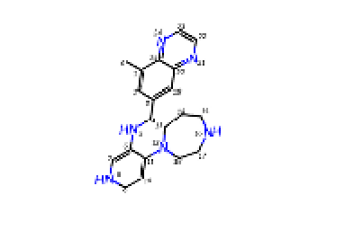 Cc1cc(CNC2=CNCC=C2N2CCCNCC2)cc2nccnc12